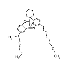 CCCCCCCCCCc1ccc(C2(C(=O)Oc3ccc(C(C)CCCCCC)cc3C#N)CCCCC2)cc1